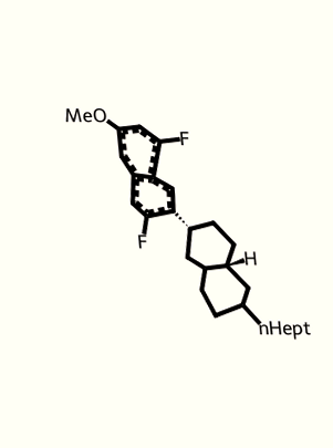 CCCCCCCC1CCC2C[C@H](c3cc4c(F)cc(OC)cc4cc3F)CC[C@@H]2C1